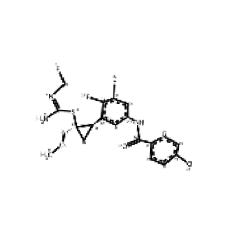 COC[C@@]1(S/C(N)=N\CF)C[C@@H]1c1cc(NC(=O)c2ccc(Cl)cn2)cc(F)c1F